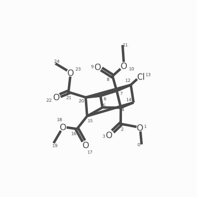 COC(=O)C12C3C4C1(C(=O)OC)C1(Cl)C2C3(C(=O)OC)C41C(=O)OC